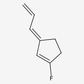 C=CC=C1C=C(F)CC1